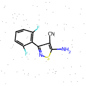 N#Cc1c(-c2c(F)cccc2F)nsc1N